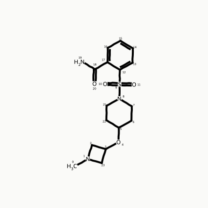 CN1CC(OC2CCN(S(=O)(=O)c3ccccc3C(N)=O)CC2)C1